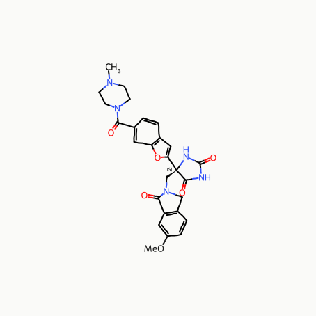 COc1ccc2c(c1)C(=O)N(C[C@@]1(c3cc4ccc(C(=O)N5CCN(C)CC5)cc4o3)NC(=O)NC1=O)C2